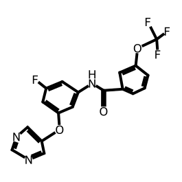 O=C(Nc1cc(F)cc(Oc2cncnc2)c1)c1cccc(OC(F)(F)F)c1